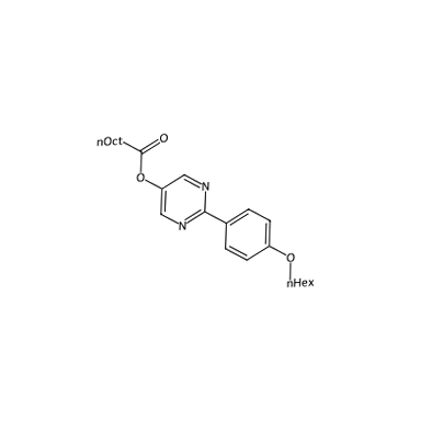 CCCCCCCCC(=O)Oc1cnc(-c2ccc(OCCCCCC)cc2)nc1